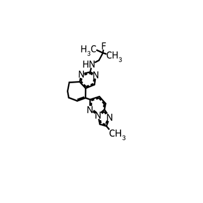 Cc1cn2nc(C3=CCCCc4nc(NCC(C)(C)F)ncc43)ccc2n1